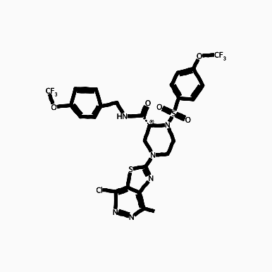 Cc1nnc(Cl)c2sc(N3CCN(S(=O)(=O)c4ccc(OC(F)(F)F)cc4)[C@@H](C(=O)NCc4ccc(OC(F)(F)F)cc4)C3)nc12